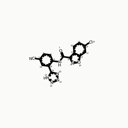 N#Cc1ccc(NC(=O)c2noc3cc(Cl)ccc23)c(-c2nnn[nH]2)c1